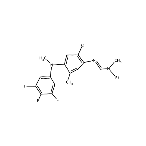 CCN(C)C=Nc1cc(C)c(N(C)c2cc(F)c(F)c(F)c2)cc1Cl